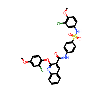 COc1ccc(Oc2nc3ccccc3cc2C(=O)Nc2ccc(S(=O)(=O)Nc3ccc(OC)c(Cl)c3)cc2)c(Cl)c1